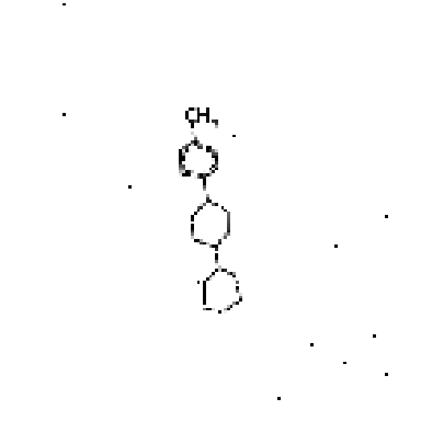 Cc1ccc(C2CCC(C3[CH]CCCC3)CC2)cc1